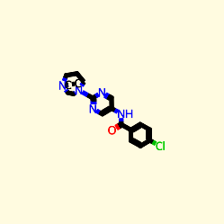 O=C(Nc1cnc(N2CCN3CCC2CC3)nc1)c1ccc(Cl)cc1